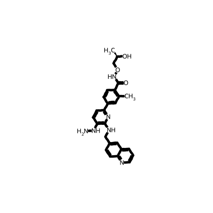 Cc1cc(-c2ccc(NN)c(NCc3ccc4ncccc4c3)n2)ccc1C(=O)NOC[C@@H](C)O